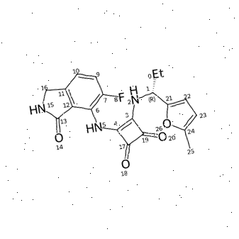 CC[C@@H](Nc1c(Nc2c(F)ccc3c2C(=O)NC3)c(=O)c1=O)c1ccc(C)o1